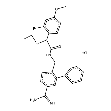 CCOC(C(=O)NCc1ccc(C(=N)N)cc1-c1ccccc1)c1ccc(OC)cc1F.Cl